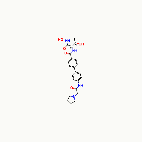 C[C@@H](O)[C@H](NC(=O)c1ccc(-c2ccc(NC(=O)CN3CCCC3)cc2)cc1)C(=O)NO